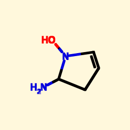 NC1CC=CN1O